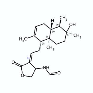 CC1=CC[C@@H]2[C@@H](C)[C@@](C)(O)CC[C@@]2(C)[C@@H]1C/C=C1/C(=O)OCC1NC=O